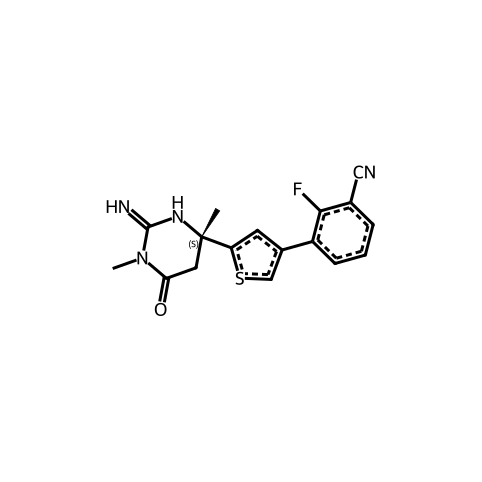 CN1C(=N)N[C@](C)(c2cc(-c3cccc(C#N)c3F)cs2)CC1=O